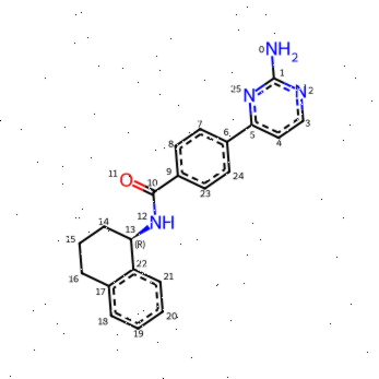 Nc1nccc(-c2ccc(C(=O)N[C@@H]3CCCc4ccccc43)cc2)n1